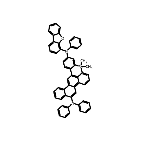 C[Si]1(C)c2cc(N(c3ccccc3)c3cccc4c3oc3ccccc34)ccc2-c2cc3c4ccccc4c(N(c4ccccc4)c4ccccc4)cc3c3cccc1c23